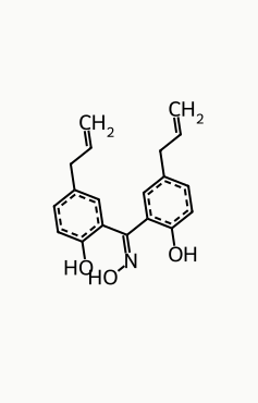 C=CCc1ccc(O)c(C(=NO)c2cc(CC=C)ccc2O)c1